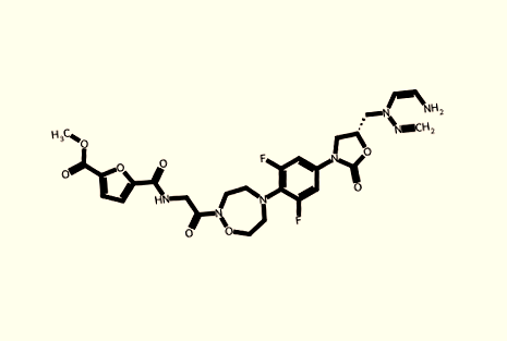 C=NN(/C=C\N)C[C@H]1CN(c2cc(F)c(N3CCON(C(=O)CNC(=O)c4ccc(C(=O)OC)o4)CC3)c(F)c2)C(=O)O1